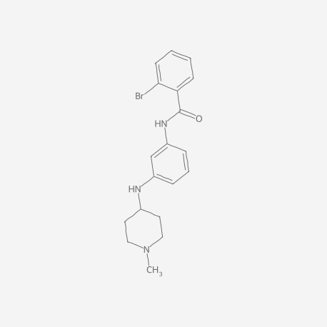 CN1CCC(Nc2cccc(NC(=O)c3ccccc3Br)c2)CC1